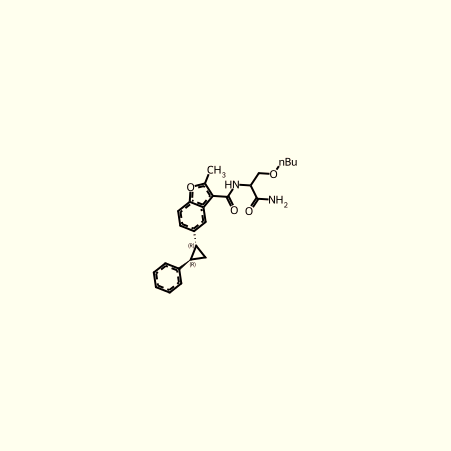 CCCCOCC(NC(=O)c1c(C)oc2ccc([C@@H]3C[C@H]3c3ccccc3)cc12)C(N)=O